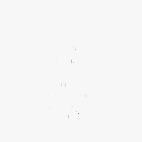 Cc1c(-c2[nH]c3sc(N4CCN(CCS(C)(=O)=O)C[C@H]4C)nc3c2C(C)C)cn2ncnc2c1C